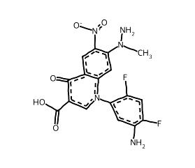 CN(N)c1cc2c(cc1[N+](=O)[O-])c(=O)c(C(=O)O)cn2-c1cc(N)c(F)cc1F